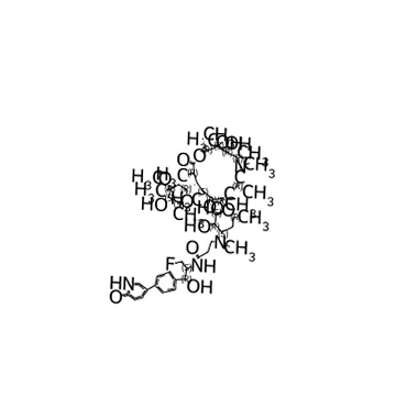 CC[C@H]1OC(=O)[C@H](C)C([C@H]2C[C@@](C)(OC)[C@@H](O)[C@H](C)O2)[C@H](C)[C@@H](O[C@@H]2O[C@H](C)C[C@H](N(C)CCC(=O)N[C@H](CF)[C@H](O)c3ccc(-c4ccc(=O)[nH]c4)cc3)[C@H]2O)[C@](C)(O)C[C@@H](C)CN(C)[C@H](C)[C@@H](O)[C@]1(C)O